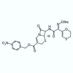 CON=C(C(=O)NC1C(=O)N2C=C(C(=O)OCc3ccc([N+](=O)[O-])cc3)CS[C@H]12)C1=CSCCO1